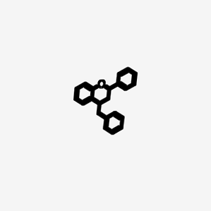 c1ccc(CC2CC(c3ccccc3)Oc3ccccc32)cc1